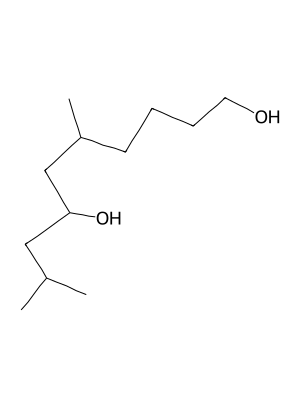 CC(C)CC(O)CC(C)CCCCO